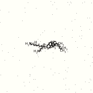 CC(C)CCC[C@@H](C)[C@H]1CC[C@H]2[C@@H]3CC=C4C[C@@H](OC(=O)N(CCCN)CCCCNCCCN)CC[C@]4(C)C3CC[C@]12C